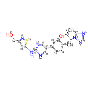 C[C@@H](Cn1cncn1)Oc1cc(-c2cnc(Nc3cc(CO)ns3)nc2)ccc1C#N